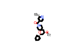 CCO[C@@H]1C[C@H](c2ccccc2)OC2(CCN(C(=O)c3ccnc(C(C)(C)C)c3)CC2)C1